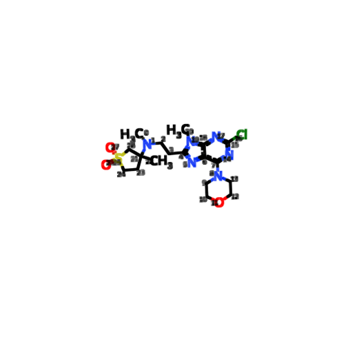 CN(CCc1nc2c(N3CCOCC3)nc(Cl)nc2n1C)C1(C)CCS(=O)(=O)C1